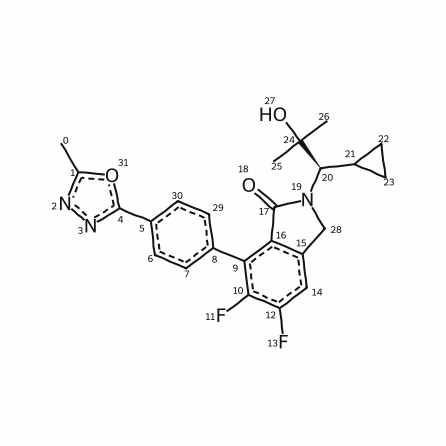 Cc1nnc(-c2ccc(-c3c(F)c(F)cc4c3C(=O)N([C@H](C3CC3)C(C)(C)O)C4)cc2)o1